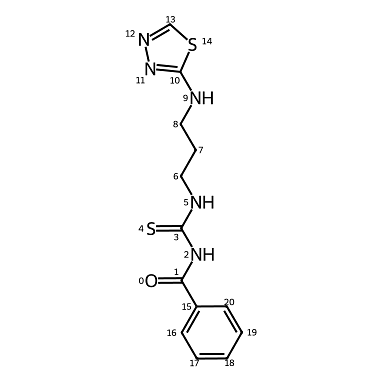 O=C(NC(=S)NCCCNc1nncs1)c1ccccc1